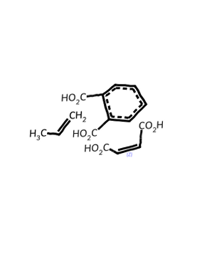 C=CC.O=C(O)/C=C\C(=O)O.O=C(O)c1ccccc1C(=O)O